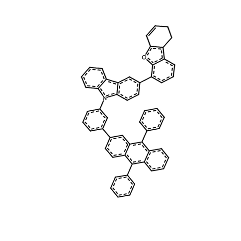 C1=Cc2oc3c(-c4ccc5c(c4)c4ccccc4n5-c4cccc(-c5ccc6c(-c7ccccc7)c7ccccc7c(-c7ccccc7)c6c5)c4)cccc3c2CC1